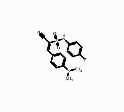 CN(C)c1ccc(C=C(C#N)S(=O)(=O)Nc2ccc(F)cc2)cc1